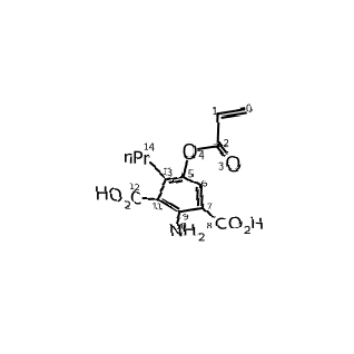 C=CC(=O)Oc1cc(C(=O)O)c(N)c(C(=O)O)c1CCC